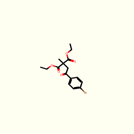 CCOC(=O)C(C)(CC(=O)c1ccc(Br)cc1)C(=O)OCC